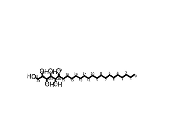 CCCCCCCCCCCCCCCCCCC(=O)C(O)C(O)C(O)C(O)CO